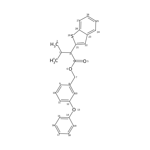 CC(C)C(C(=O)OCc1cccc(Oc2ccccc2)c1)c1cc2ccccc2s1